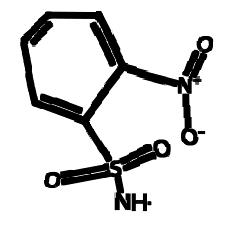 [NH]S(=O)(=O)c1ccccc1[N+](=O)[O-]